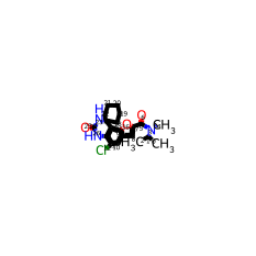 CC(C)N(C)C(=O)c1cc2cc(Cl)c3c(c2o1)C1(CCCCC1)NC(=O)N3